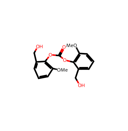 COc1cccc(CO)c1OC(=O)Oc1c(CO)cccc1OC